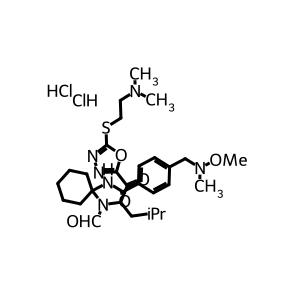 CON(C)Cc1ccc(C(=O)NC2(N(C=O)C(CC(C)C)C(=O)c3nnc(SCCN(C)C)o3)CCCCC2)cc1.Cl.Cl